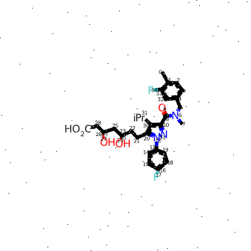 Cc1ccc(CN(C)C(=O)c2nn(-c3ccc(F)cc3)c(CC[C@@H](O)C[C@@H](O)CC(=O)O)c2C(C)C)cc1F